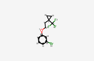 FC(F)(F)C1(CCOc2cccc(Br)c2)CC1